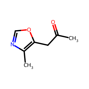 CC(=O)Cc1ocnc1C